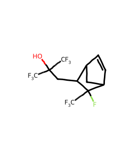 OC(CC1C2C=CC(C2)C1(F)C(F)(F)F)(C(F)(F)F)C(F)(F)F